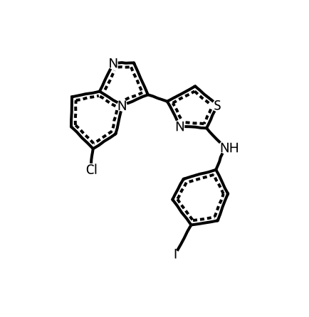 Clc1ccc2ncc(-c3csc(Nc4ccc(I)cc4)n3)n2c1